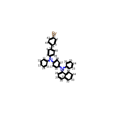 Brc1ccc(-c2ccc(N(c3ccccc3)c3ccc(N(c4ccccc4)c4cccc5ccccc45)cc3)cc2)cc1